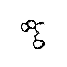 N#Cc1ccc2ccccc2c1OCc1ccccc1